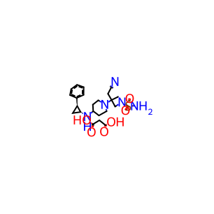 N#CCC1(N2CCC(N[C@@H]3C[C@H]3c3ccccc3)CC2)CN(S(N)(=O)=O)C1.O=C(O)CC(=O)O